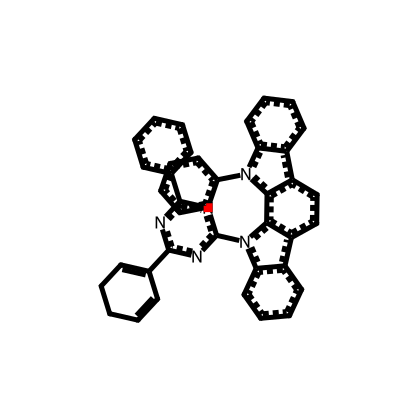 C1=CC(c2nc(-c3ccccc3)nc(-n3c4ccccc4c4ccc5c6ccccc6n(-c6ccccc6)c5c43)n2)=CCC1